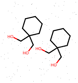 OCC1(CO)CCCCC1.OCC1(CO)CCCCC1